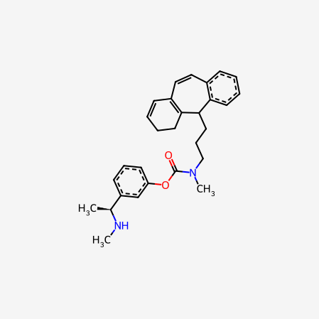 CN[C@@H](C)c1cccc(OC(=O)N(C)CCCC2C3=C(C=CCC3)C=Cc3ccccc32)c1